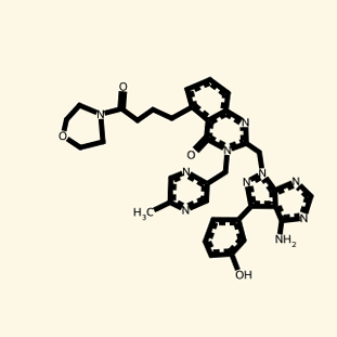 Cc1cnc(Cn2c(Cn3nc(-c4cccc(O)c4)c4c(N)ncnc43)nc3cccc(CCCC(=O)N4CCOCC4)c3c2=O)cn1